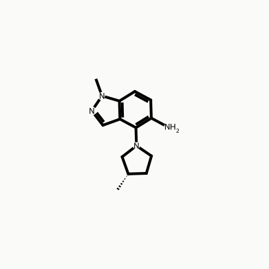 C[C@H]1CCN(c2c(N)ccc3c2cnn3C)C1